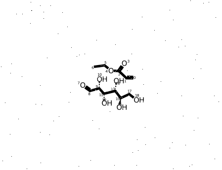 C=CC(=O)OCC.O=C[C@H](O)[C@@H](O)[C@H](O)[C@H](O)CO